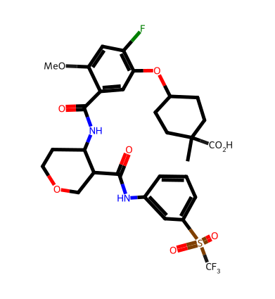 COc1cc(F)c(OC2CCC(C)(C(=O)O)CC2)cc1C(=O)NC1CCOCC1C(=O)Nc1cccc(S(=O)(=O)C(F)(F)F)c1